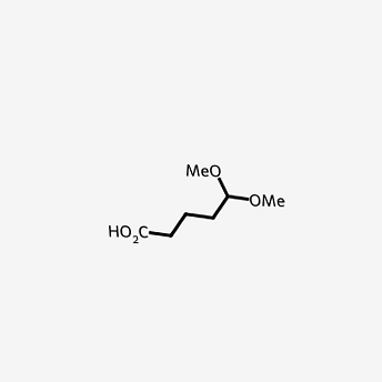 COC(CCCC(=O)O)OC